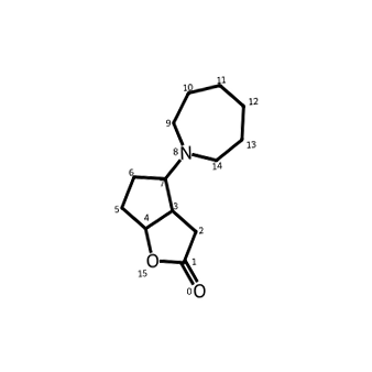 O=C1CC2C(CCC2N2CCCCCC2)O1